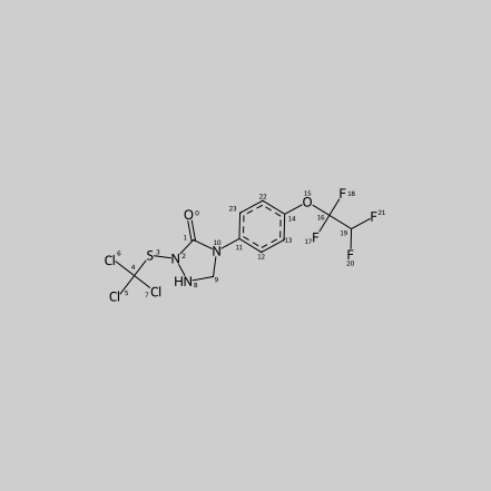 O=C1N(SC(Cl)(Cl)Cl)NCN1c1ccc(OC(F)(F)C(F)F)cc1